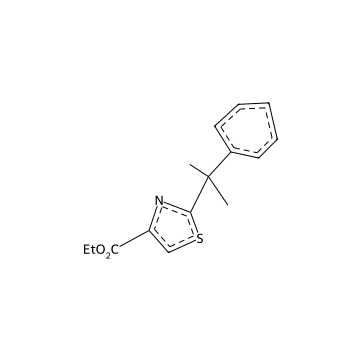 CCOC(=O)c1csc(C(C)(C)c2ccccc2)n1